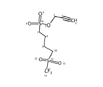 C#CCOS(=O)(=O)CCCCS(=O)(=O)C(F)(F)F